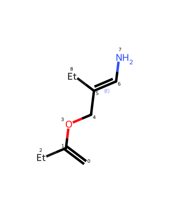 C=C(CC)OC/C(=C/N)CC